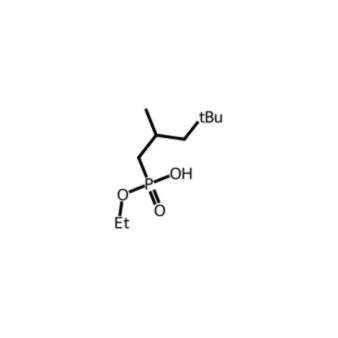 CCOP(=O)(O)CC(C)CC(C)(C)C